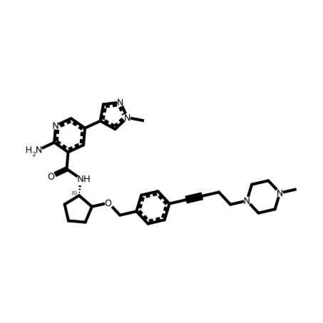 CN1CCN(CCC#Cc2ccc(COC3CCC[C@@H]3NC(=O)c3cc(-c4cnn(C)c4)cnc3N)cc2)CC1